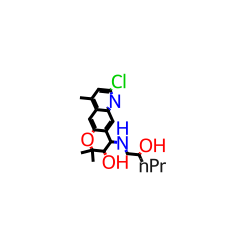 CCCC(O)CNC1c2cc3nc(Cl)cc(C)c3cc2OC(C)(C)C1O